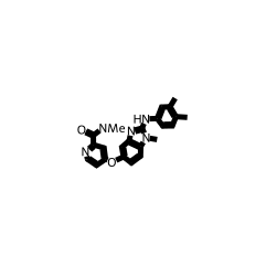 CNC(=O)c1cc(Oc2ccc3c(c2)nc(Nc2ccc(C)c(C)c2)n3C)ccn1